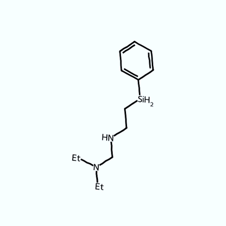 CCN(CC)CNCC[SiH2]c1ccccc1